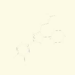 CN(C)CCn1cc(-c2ccc(F)c(C(F)(F)F)c2)nc1C1CCNCC1